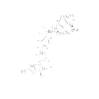 CC(C)c1cc(C(=O)N2CCCC3(CCN(Cc4cccc(C[C@@H](C)NC[C@H](O)c5ccc(O)c6c5ccc(=O)n6C)c4)CC3)C2)cs1